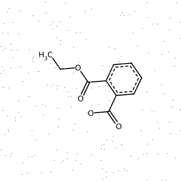 CCOC(=O)c1ccccc1C([O])=O